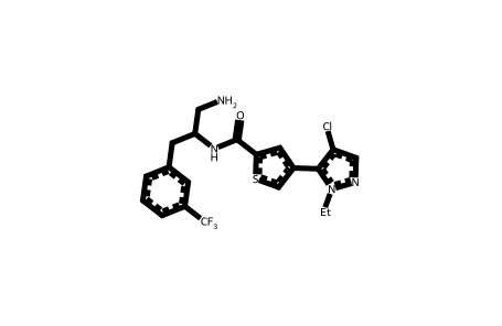 CCn1ncc(Cl)c1-c1csc(C(=O)NC(CN)Cc2cccc(C(F)(F)F)c2)c1